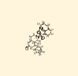 O=C1C=C2CCN(S(=O)(=O)c3cccc4cccnc34)CC2(CC2C3=CC=CC2C3)CC1